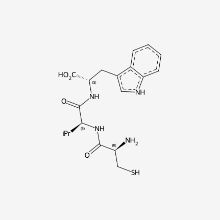 CC(C)[C@H](NC(=O)[C@@H](N)CS)C(=O)N[C@@H](Cc1c[nH]c2ccccc12)C(=O)O